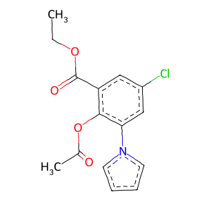 CCOC(=O)c1cc(Cl)cc(-n2cccc2)c1OC(C)=O